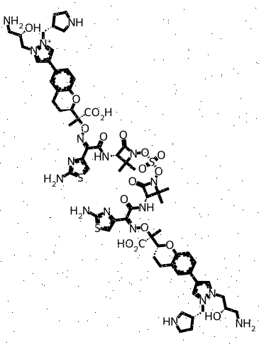 CC1(C)[C@H](NC(=O)/C(=N\O[C@](C)(C(=O)O)[C@H]2CCc3cc(-c4cn(C[C@@H](O)CN)[n+](C[C@@H]5CCNC5)c4)ccc3O2)c2csc(N)n2)C(=O)N1OS(=O)(=O)ON1C(=O)[C@@H](NC(=O)/C(=N\O[C@](C)(C(=O)O)[C@H]2CCc3cc(-c4cn(C[C@@H](O)CN)[n+](C[C@@H]5CCNC5)c4)ccc3O2)c2csc(N)n2)C1(C)C